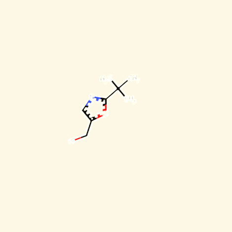 CC(C)(C)c1ncc(C[O])o1